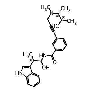 C[C@H](c1c[nH]c2ccccc12)C(O)NC(=O)c1cccc(C#CCN(C)[C@H](C)[C@@H](C)O)c1